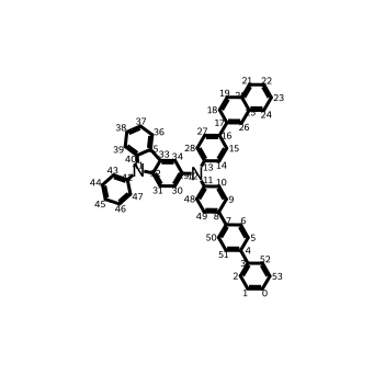 c1ccc(-c2ccc(-c3ccc(N(c4ccc(-c5ccc6ccccc6c5)cc4)c4ccc5c(c4)c4ccccc4n5-c4ccccc4)cc3)cc2)cc1